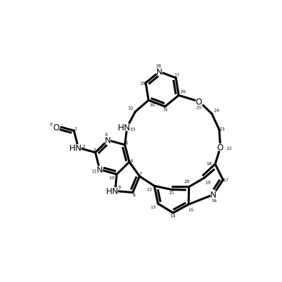 O=CNc1nc2c3c(c[nH]c3n1)-c1ccc3ncc(cc3c1)OCCOc1cncc(c1)CN2